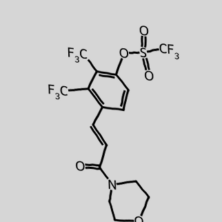 O=C(/C=C/c1ccc(OS(=O)(=O)C(F)(F)F)c(C(F)(F)F)c1C(F)(F)F)N1CCOCC1